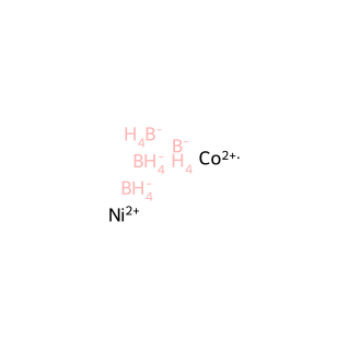 [BH4-].[BH4-].[BH4-].[BH4-].[Co+2].[Ni+2]